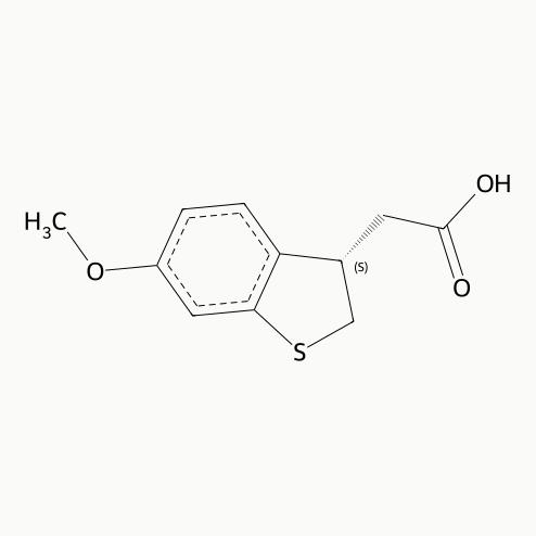 COc1ccc2c(c1)SC[C@H]2CC(=O)O